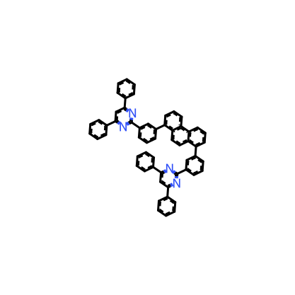 c1ccc(-c2cc(-c3ccccc3)nc(-c3cccc(-c4cccc5c4ccc4c(-c6cccc(-c7nc(-c8ccccc8)cc(-c8ccccc8)n7)c6)cccc45)c3)n2)cc1